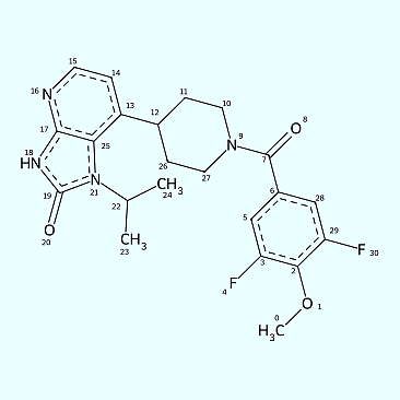 COc1c(F)cc(C(=O)N2CCC(c3ccnc4[nH]c(=O)n(C(C)C)c34)CC2)cc1F